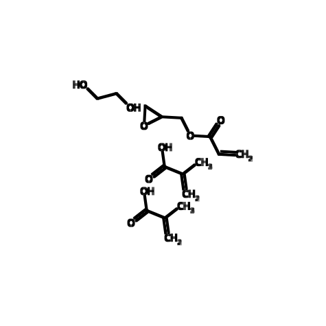 C=C(C)C(=O)O.C=C(C)C(=O)O.C=CC(=O)OCC1CO1.OCCO